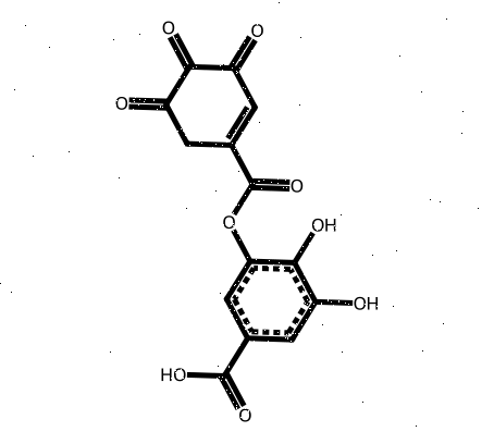 O=C1C=C(C(=O)Oc2cc(C(=O)O)cc(O)c2O)CC(=O)C1=O